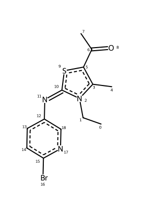 CCn1c(C)c(C(C)=O)sc1=Nc1ccc(Br)nc1